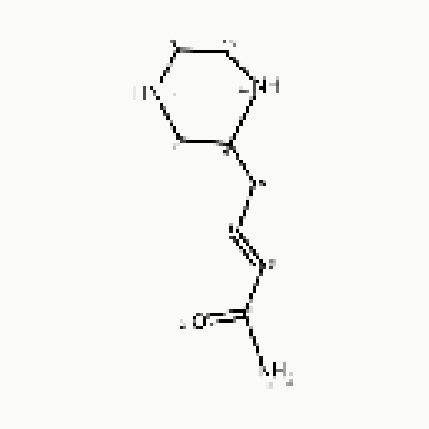 NC(=O)C=CCC1CNCCN1